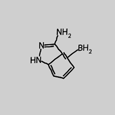 Bc1cccc2[nH]nc(N)c12